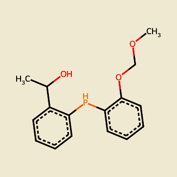 COCOc1ccccc1Pc1ccccc1C(C)O